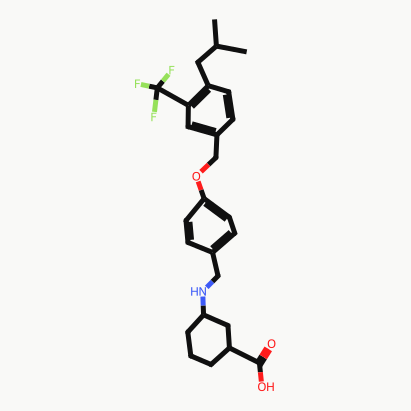 CC(C)Cc1ccc(COc2ccc(CNC3CCCC(C(=O)O)C3)cc2)cc1C(F)(F)F